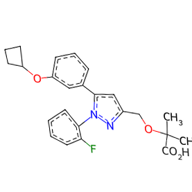 CC(C)(OCc1cc(-c2cccc(OC3CCC3)c2)n(-c2ccccc2F)n1)C(=O)O